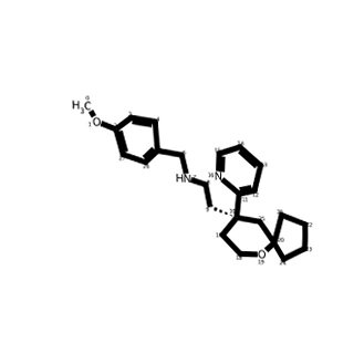 COc1ccc(CNCC[C@@]2(c3ccccn3)CCOC3(CCCC3)C2)cc1